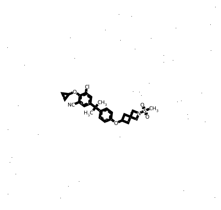 CC(C)(c1ccc(OC2CC3(C2)CN(S(C)(=O)=O)C3)cc1)c1cc(Cl)c(OC2CC2)c(C#N)c1